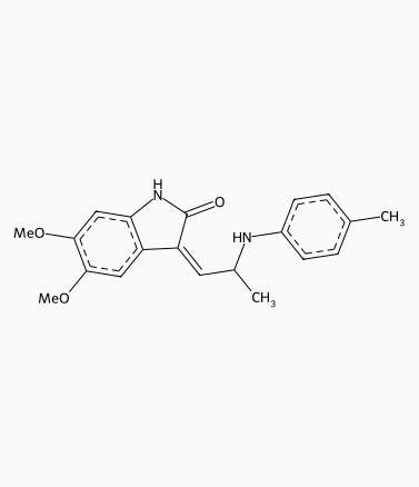 COc1cc2c(cc1OC)C(=CC(C)Nc1ccc(C)cc1)C(=O)N2